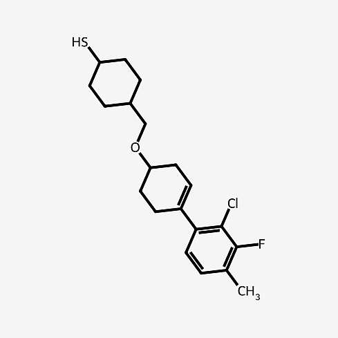 Cc1ccc(C2=CCC(OCC3CCC(S)CC3)CC2)c(Cl)c1F